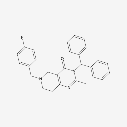 Cc1nc2c(c(=O)n1C(c1ccccc1)c1ccccc1)CN(Cc1ccc(F)cc1)CC2